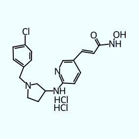 Cl.Cl.O=C(/C=C/c1ccc(NC2CCN(Cc3ccc(Cl)cc3)C2)nc1)NO